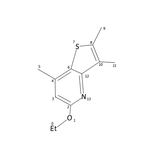 CCOc1cc(C)c2sc(C)c(C)c2n1